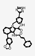 O=C(C=Cc1ccccc1)Nc1c(C(=O)O)n(Cc2cccc(-c3nn[nH]n3)c2)c2cccc(-c3ccc4c(c3)OCO4)c12